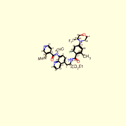 CCOC(=O)[C@H](Cc1ccc(N(C=O)C(=O)c2ccncc2NC)c2ncccc12)NC(=O)c1c(C)cc(N2CCOC[C@@H]2C(F)(F)F)cc1F